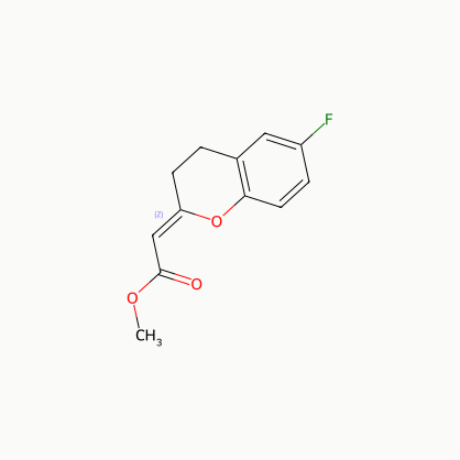 COC(=O)/C=C1/CCc2cc(F)ccc2O1